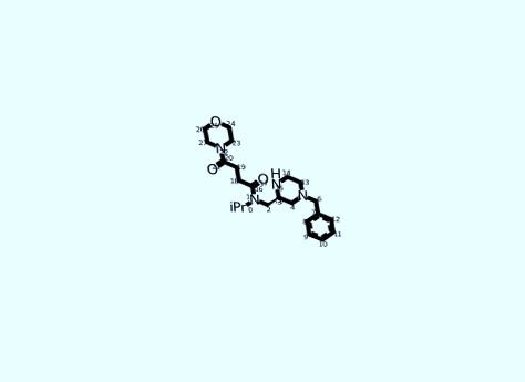 CC(C)N(C[C@@H]1CN(Cc2ccccc2)CCN1)C(=O)CCC(=O)N1CCOCC1